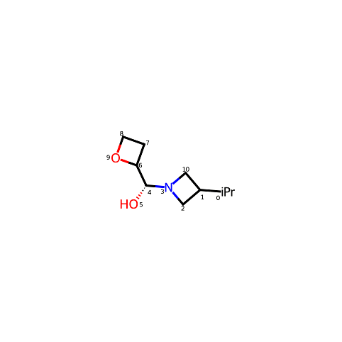 CC(C)C1CN([C@H](O)C2CCO2)C1